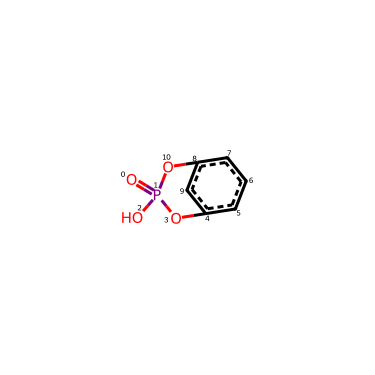 O=P1(O)Oc2cccc(c2)O1